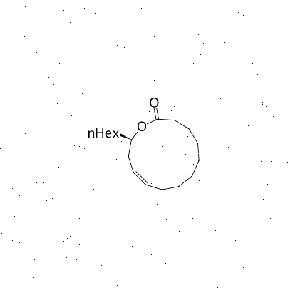 CCCCCC[C@@H]1C/C=C\CCCCCCCC(=O)O1